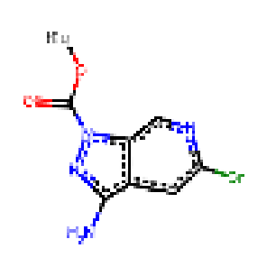 CC(C)(C)OC(=O)n1nc(N)c2cc(Br)ncc21